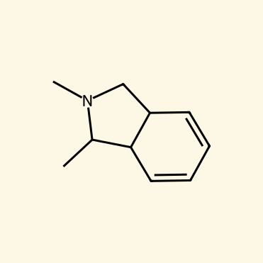 CC1C2C=CC=CC2CN1C